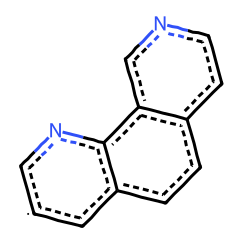 [c]1cnc2c(c1)ccc1ccncc12